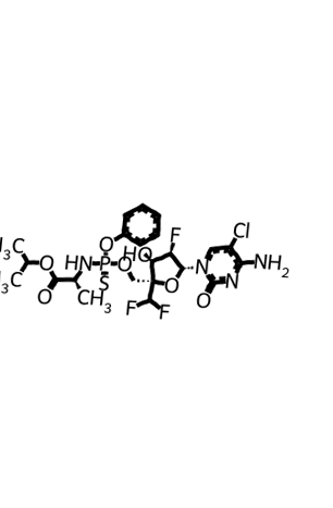 CC(C)OC(=O)[C@H](C)NP(=S)(OC[C@@]1(C(F)F)O[C@@H](n2cc(Cl)c(N)nc2=O)[C@H](F)[C@@H]1O)Oc1ccccc1